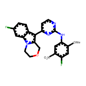 COc1cc(F)c([N+](=O)[O-])cc1Nc1nccc(-c2c3n(c4cc(F)ccc24)CCOC3)n1